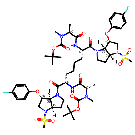 C[C@@H](C(=O)N[C@@H](CCCC[C@H](NC(=O)[C@H](C)N(C)C(=O)OC(C)(C)C)C(=O)N1CC[C@@H]2[C@H]1[C@@H](Oc1ccc(F)cc1)CN2S(C)(=O)=O)C(=O)N1CC[C@@H]2[C@H]1[C@@H](Oc1ccc(F)cc1)CN2S(C)(=O)=O)N(C)C(=O)OC(C)(C)C